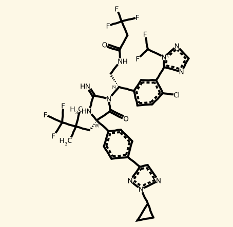 CC(C)(C[C@]1(c2ccc(-c3cnn(C4CC4)n3)cc2)NC(=N)N([C@H](CNC(=O)CC(F)(F)F)c2ccc(Cl)c(-c3ncnn3C(F)F)c2)C1=O)C(F)(F)F